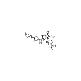 C=CCn1c(=O)c2cnc(Nc3ccc(N4CC5(CCN(C)C5)C4)c(C)c3)nc2n1C(=N)/C=C\C(=O)NC(C)C